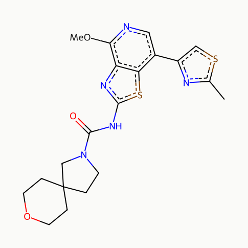 COc1ncc(-c2csc(C)n2)c2sc(NC(=O)N3CCC4(CCOCC4)C3)nc12